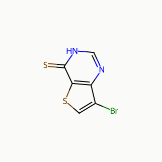 S=c1[nH]cnc2c(Br)csc12